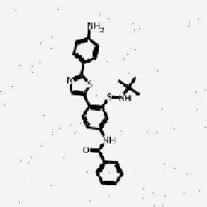 CC(C)(C)NSc1cc(NC(=O)c2ccccc2)ccc1-c1cnc(-c2ccc(N)cc2)s1